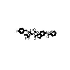 CC(N(Cc1ccc(F)cc1)C(=O)CN1C(=O)O[C@@]2(CCc3cc(NC(=O)c4ccccn4)ccc32)C1=O)C(F)(F)F